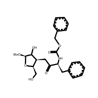 CO[C@@H]1O[C@H](CO)[C@H](CC(=O)[C@H](Cc2ccccc2)NC(=O)OCc2ccccc2)C1O